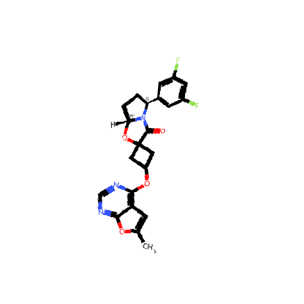 Cc1cc2c(OC3CC4(C3)O[C@@H]3CC[C@@H](c5cc(F)cc(F)c5)N3C4=O)ncnc2o1